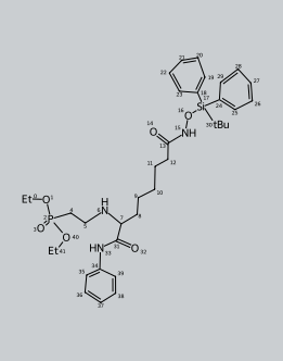 CCOP(=O)(CCNC(CCCCCC(=O)NO[Si](c1ccccc1)(c1ccccc1)C(C)(C)C)C(=O)Nc1ccccc1)OCC